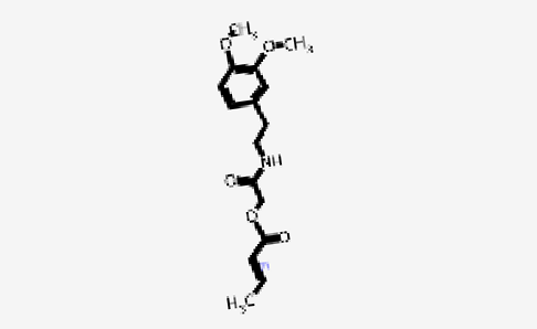 C/C=C/C(=O)OCC(=O)NCCc1ccc(OC)c(OC)c1